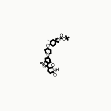 C[C@@H]1CC2(CC[C@H]1OC1CCN(c3ccc4c(C5CCC(=O)NC5=O)nn(C)c4c3)CC1)CN(C(=O)OC(C)(C)C)C2